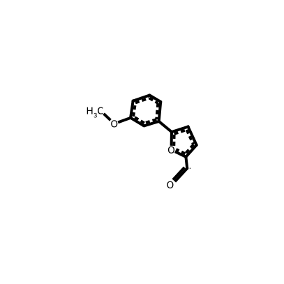 COc1cccc(-c2ccc([C]=O)o2)c1